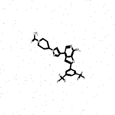 CC(=O)N1CCC(n2cc(-c3cnc(N)c4oc(-c5cc(C(F)(F)F)cc(C(F)(F)F)c5)cc34)cn2)CC1